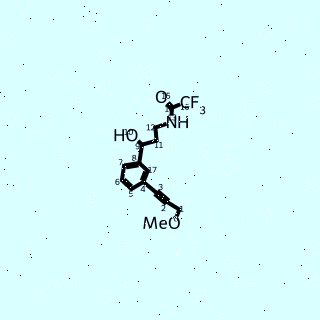 COCC#Cc1cccc(C(O)CCNC(=O)C(F)(F)F)c1